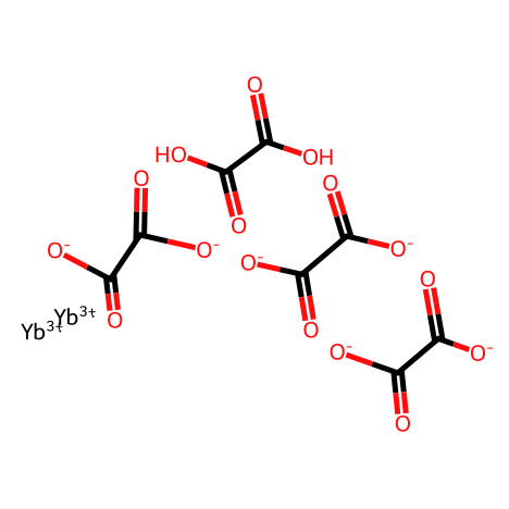 O=C(O)C(=O)O.O=C([O-])C(=O)[O-].O=C([O-])C(=O)[O-].O=C([O-])C(=O)[O-].[Yb+3].[Yb+3]